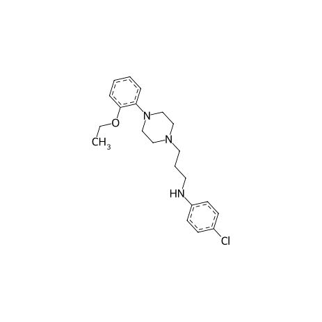 CCOc1ccccc1N1CCN(CCCNc2ccc(Cl)cc2)CC1